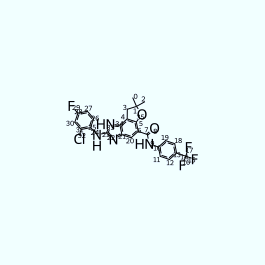 CC1(C)Cc2c(c(C(=O)Nc3ccc(C(F)(F)F)cc3)cc3nc(Nc4ccc(F)cc4Cl)[nH]c23)O1